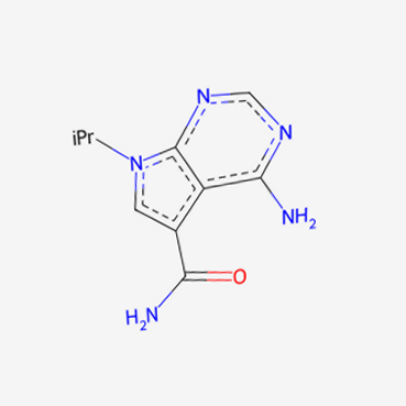 CC(C)n1cc(C(N)=O)c2c(N)ncnc21